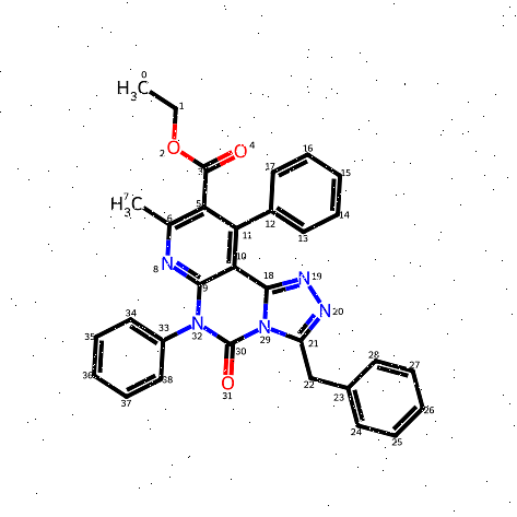 CCOC(=O)c1c(C)nc2c(c1-c1ccccc1)c1nnc(Cc3ccccc3)n1c(=O)n2-c1ccccc1